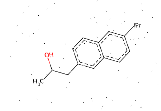 CC(O)Cc1ccc2cc(C(C)C)ccc2c1